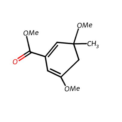 COC(=O)C1=CC(C)(OC)CC(OC)=C1